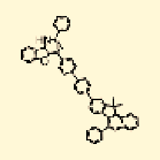 CC1(C)c2cc(-c3ccc(-c4ccc(C5=C6Oc7ccccc7C6NC(c6ccccc6)=N5)cc4)cc3)ccc2-c2c(-c3ccccc3)cc3ccccc3c21